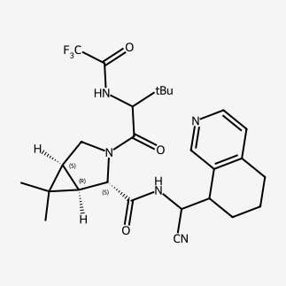 CC(C)(C)C(NC(=O)C(F)(F)F)C(=O)N1C[C@H]2[C@@H]([C@H]1C(=O)NC(C#N)C1CCCc3ccncc31)C2(C)C